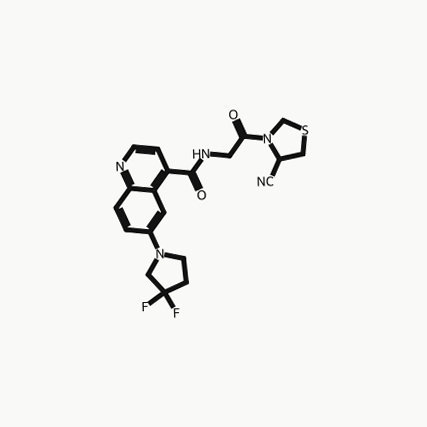 N#CC1CSCN1C(=O)CNC(=O)c1ccnc2ccc(N3CCC(F)(F)C3)cc12